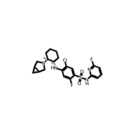 O=S(=O)(Nc1cccc(F)n1)c1cc(Cl)c(N[C@H]2CCCC[C@@H]2N2CC3CC3C2)cc1F